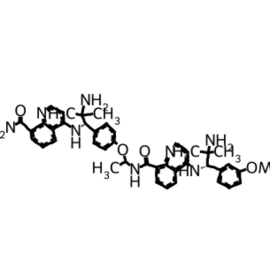 COc1cccc([C@H](Nc2ccnc3c(C(=O)NC(C)Oc4ccc([C@H](Nc5ccnc6c(C(N)=O)cccc56)C(C)(C)N)cc4)cccc23)C(C)(C)N)c1